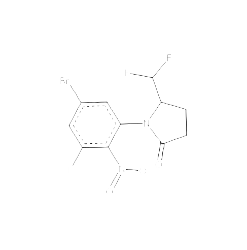 O=C1CCC(C(F)F)N1c1cc(Br)cc(F)c1[N+](=O)[O-]